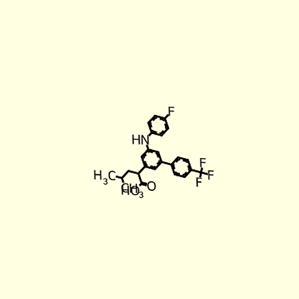 CC(C)CC(C(=O)O)c1cc(Nc2ccc(F)cc2)cc(-c2ccc(C(F)(F)F)cc2)c1